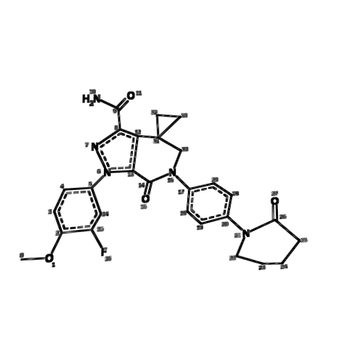 COc1ccc(-n2nc(C(N)=O)c3c2C(=O)N(c2ccc(N4CCCCC4=O)cc2)CC32CC2)cc1F